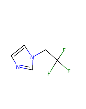 FC(F)(F)Cn1ccnc1